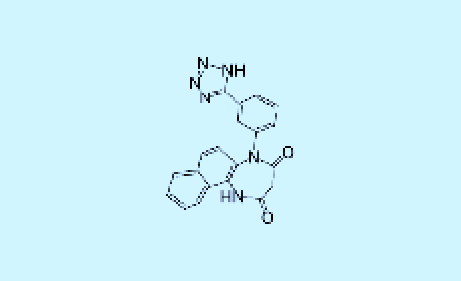 O=C1CC(=O)N(c2cccc(-c3nnn[nH]3)c2)c2ccc3ccccc3c2N1